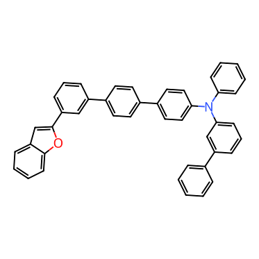 c1ccc(-c2cccc(N(c3ccccc3)c3ccc(-c4ccc(-c5cccc(-c6cc7ccccc7o6)c5)cc4)cc3)c2)cc1